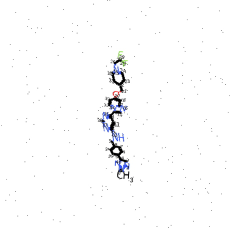 Cn1ncc(-c2ccc(CNc3cc(-c4cnc5cc(OCC6CCN(CC(F)F)CC6)ccn45)ncn3)cc2)n1